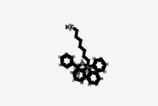 CCCCCCCCP(OC(=O)c1ccccc1)(c1ccccc1)(c1ccccc1)c1ccccc1